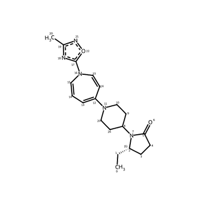 CC[C@H]1CCC(=O)N1C1CCN(C2=CC=CN(c3nc(C)no3)C=C2)CC1